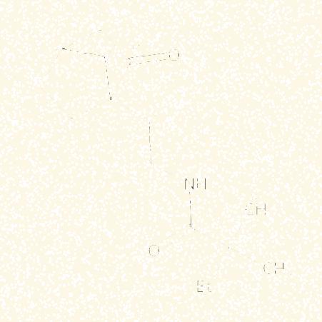 CCC(C)(C)C(=O)NCCC12CCC(CC1=O)C2